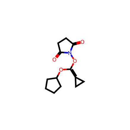 O=C1CCC(=O)N1OC(OC1CCCC1)=C1CC1